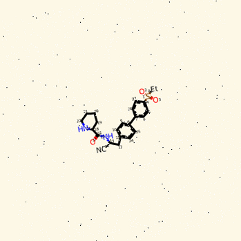 CCS(=O)(=O)c1ccc(-c2ccc(C[C@@H](C#N)NC(=O)C3CCCCN3)cc2)cc1